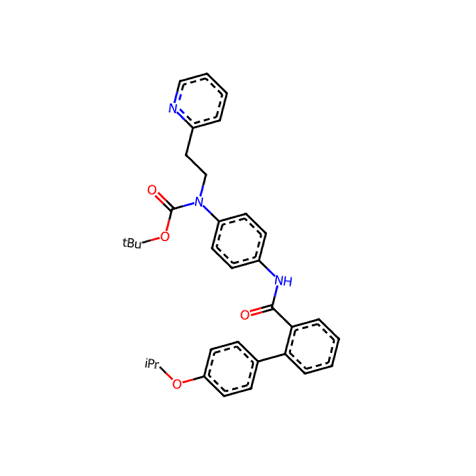 CC(C)Oc1ccc(-c2ccccc2C(=O)Nc2ccc(N(CCc3ccccn3)C(=O)OC(C)(C)C)cc2)cc1